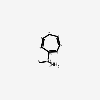 CB(N)C1=CC=CCC=C1